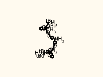 CC(CCC(C(=O)N(CCOCCOc1ccc(C(N)c2ccc(OCCOCCN(Cc3ccccc3)C(=O)C(CCC(C)CC(C)(C)C)C(C)CC(C)(C)C)cc2)cc1)Cc1ccccc1)C(C)CC(C)(C)C)CC(C)(C)C